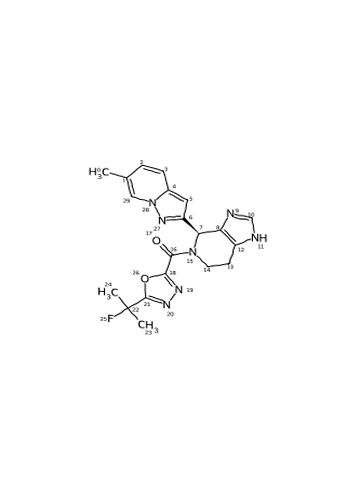 Cc1ccc2cc([C@H]3c4nc[nH]c4CCN3C(=O)c3nnc(C(C)(C)F)o3)nn2c1